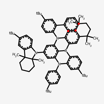 CC(C)(C)c1ccc(N2c3cc(C(C)(C)C)ccc3B3c4cc5c(cc4N(c4ccc(C(C)(C)C)cc4-c4ccccc4)c4cc(N6c7ccc(C(C)(C)C)cc7C7(C)CCCCC67C)cc2c43)C(C)(C)CCC5(C)C)cc1